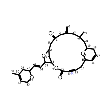 C=C1CC(=O)CC2CC(OC(=O)/C=C\CC3C=CCC(CC(C)C1)O3)C(C=CC1CC(C)=CCO1)O2